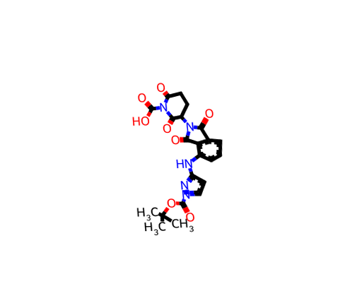 CC(C)(C)OC(=O)n1ccc(Nc2cccc3c2C(=O)N(C2CCC(=O)N(C(=O)O)C2=O)C3=O)n1